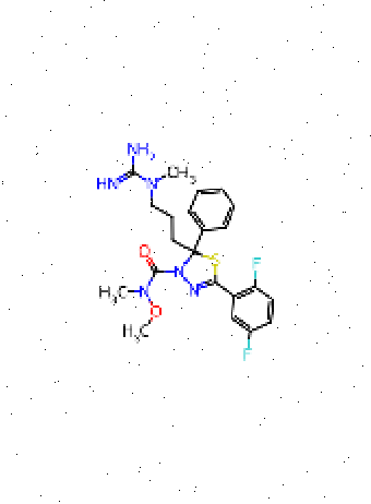 CON(C)C(=O)N1N=C(c2cc(F)ccc2F)SC1(CCCN(C)C(=N)N)c1ccccc1